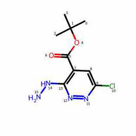 CC(C)(C)OC(=O)c1cc(Cl)nnc1NN